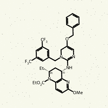 CCOC(=O)N1c2ccc(OC)nc2[C@@H](NC2=NC=C(OCc3ccccc3)CN2Cc2cc(C(F)(F)F)cc(C(F)(F)F)c2)C[C@H]1CC